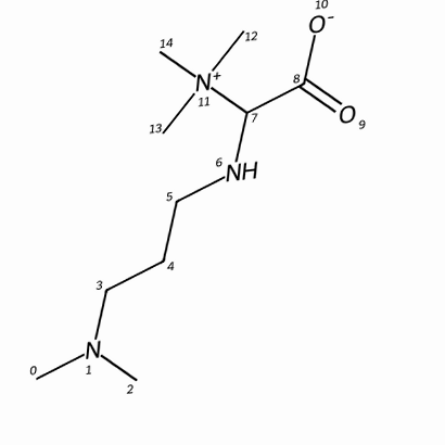 CN(C)CCCNC(C(=O)[O-])[N+](C)(C)C